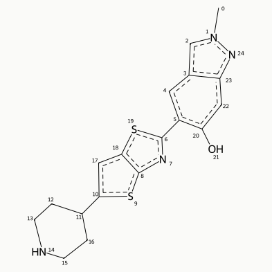 Cn1cc2cc(-c3nc4sc(C5CCNCC5)cc4s3)c(O)cc2n1